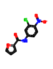 O=C(Nc1ccc([N+](=O)[O-])c(Cl)c1)c1ccco1